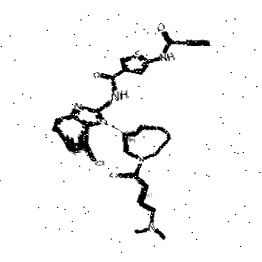 C#CC(=O)Nc1cc(C(=O)Nc2nc3cccc(Cl)c3n2[C@@H]2CCCCN(C(=O)/C=C/CN(C)C)C2)cs1